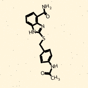 CC(=O)Nc1ccc(CSc2nc3c(C(N)=O)cccc3[nH]2)cc1